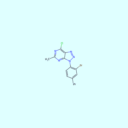 Cc1nc(Cl)c2nnn(-c3ccc(C(C)C)cc3Br)c2n1